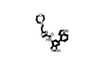 O=C(Nc1cc(-c2cccc3[nH]ccc23)cc2[nH]ncc12)c1csc(CCN2CCCOCC2)n1